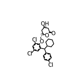 O=C1C[C@H](O)C[C@@H](COc2c(Cl)cc(Cl)cc2C(c2ccc(Cl)cc2)C2CCCCC2)O1